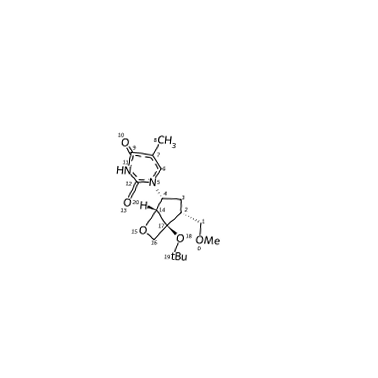 COC[C@H]1C[C@@H](n2cc(C)c(=O)[nH]c2=O)[C@H]2OC[C@@]12OC(C)(C)C